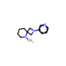 CN1CCCCC12CN(c1cccnc1)C2